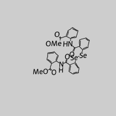 COC(=O)c1ccccc1NC(=O)c1ccccc1[Se][Se]c1ccccc1C(=O)Nc1ccccc1C(=O)OC